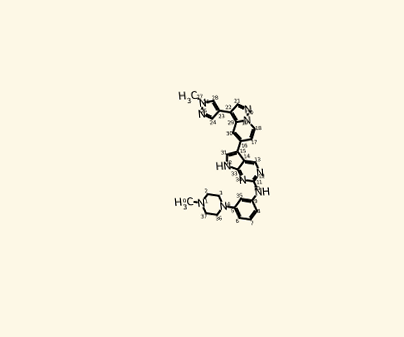 CN1CCN(c2cccc(Nc3ncc4c(-c5ccn6ncc(-c7cnn(C)c7)c6c5)c[nH]c4n3)c2)CC1